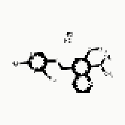 COc1cc(COc2cnc(N)nc2N)c2cccnc2c1N(C)C.Cl.Cl